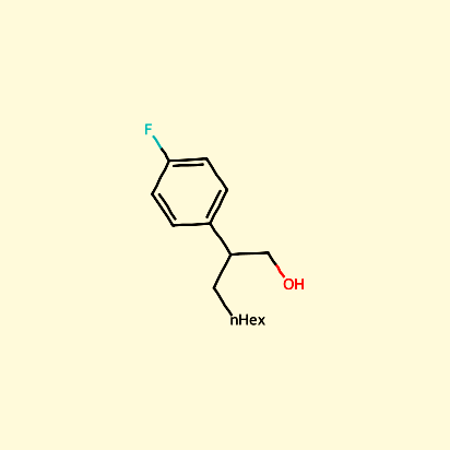 CCCCCCCC(CO)c1ccc(F)cc1